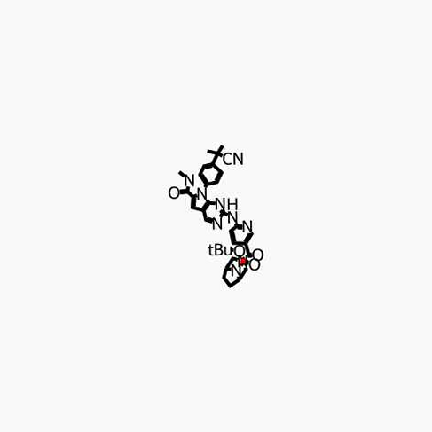 CN(C)C(=O)c1cc2cnc(Nc3ccc(C(=O)N4CC5CCC(C4)N5C(=O)OC(C)(C)C)cn3)nc2n1-c1ccc(C(C)(C)C#N)cc1